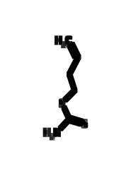 C=CCCSC(N)=S